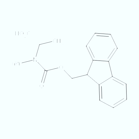 CCCN(C(=O)OCC1c2ccccc2-c2ccccc21)[C@@H](C)C(=O)O